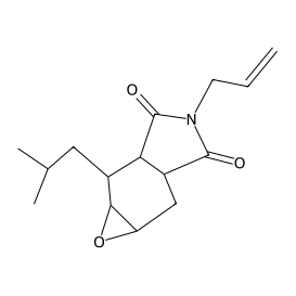 C=CCN1C(=O)C2CC3OC3C(CC(C)C)C2C1=O